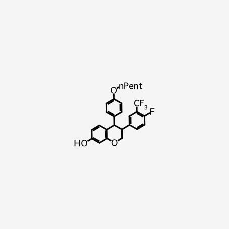 CCCCCOc1ccc(C2c3ccc(O)cc3OCC2c2ccc(F)c(C(F)(F)F)c2)cc1